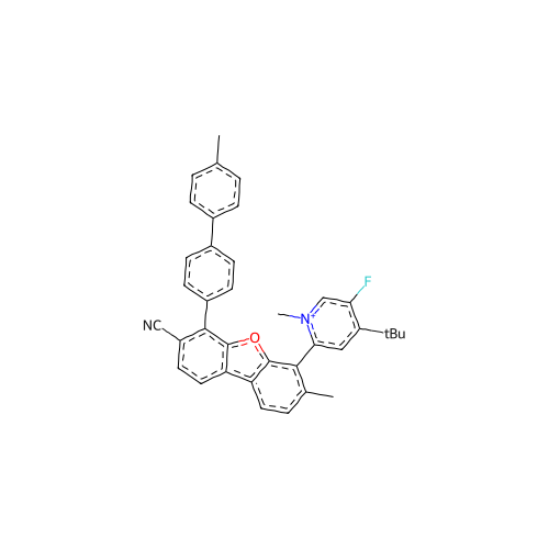 Cc1ccc(-c2ccc(-c3c(C#N)ccc4c3oc3c(-c5cc(C(C)(C)C)c(F)c[n+]5C)c(C)ccc34)cc2)cc1